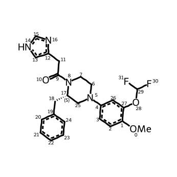 COc1ccc(N2CCN(C(=O)Cc3c[nH]cn3)[C@@H](Cc3ccccc3)C2)cc1OC(F)F